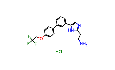 Cl.NCCc1ncc(-c2cccc(-c3ccc(OCC(F)(F)F)cc3)c2)[nH]1